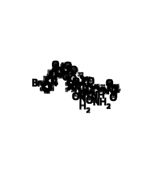 CC[C@@]1(OC(=O)CC(C)(C)CN(C(=O)[C@@H](NC(=O)CCCCCN2C(=O)C=CC2=O)C(C)C)[C@@H](CCCNC(N)=O)C(N)=O)C(=O)OCc2c1cc1n(c2=O)Cc2cc3c(Br)cccc3nc2-1